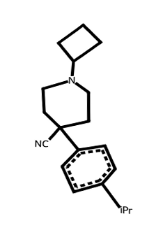 CC(C)c1ccc(C2(C#N)CCN(C3CCC3)CC2)cc1